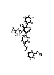 CCOc1cccc(SCCN2CCN(c3cnn(-c4ccccc4)c(=O)c3OCC3(C)CC3)CC2)c1